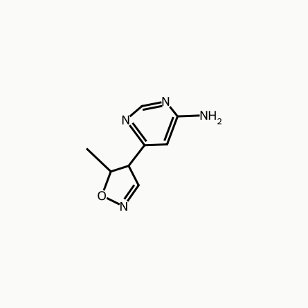 CC1ON=CC1c1cc(N)ncn1